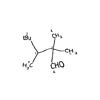 CC(C(C)(C)C)C(C)(C)C=O